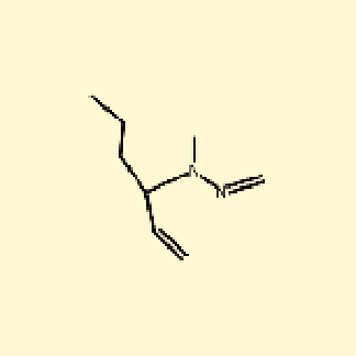 C=CC(CCC)N(C)N=C